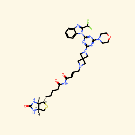 O=C(C=CCN1CC2(C1)CN(c1nc(N3CCOCC3)nc(-n3c(C(F)F)nc4ccccc43)n1)C2)NC(=O)CCCC[C@@H]1SC[C@@H]2NC(=O)N[C@@H]21